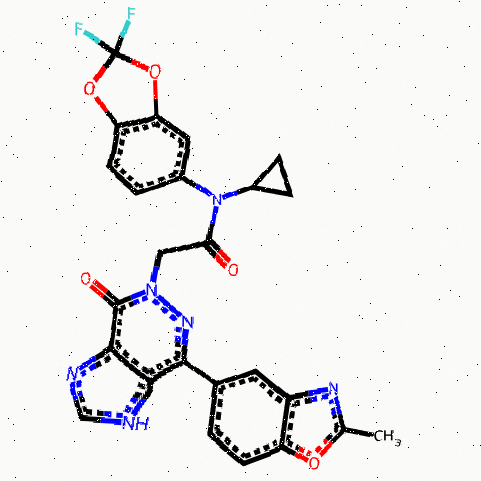 Cc1nc2cc(-c3nn(CC(=O)N(c4ccc5c(c4)OC(F)(F)O5)C4CC4)c(=O)c4nc[nH]c34)ccc2o1